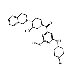 CC(=O)N1CCC(Nc2cc(C(=O)N3CC[C@@H](N4CCc5ccccc5C4)[C@H](O)C3)nc(SC(C)C)n2)CC1